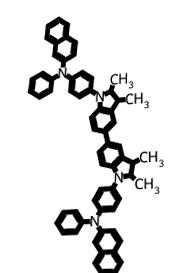 CC1c2cc(-c3ccc4c(c3)C(C)C(C)N4c3ccc(N(c4ccccc4)c4ccc5ccccc5c4)cc3)ccc2N(c2ccc(N(c3ccccc3)c3ccc4ccccc4c3)cc2)C1C